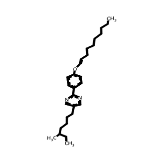 CCCCCCCCC=COc1ccc(-c2ncc(CCCCC(C)CC)cn2)cc1